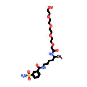 CC(CCCCNC(=O)c1cccc(S(N)(=O)=O)c1)NC(=O)COCCOCCOCCOCCO